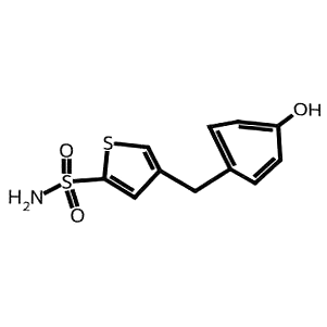 NS(=O)(=O)c1cc(Cc2ccc(O)cc2)cs1